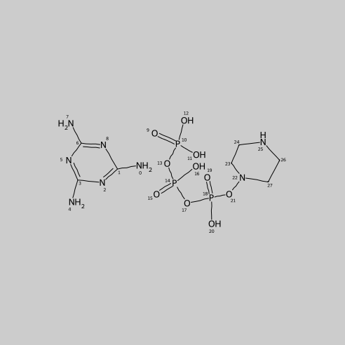 Nc1nc(N)nc(N)n1.O=P(O)(O)OP(=O)(O)OP(=O)(O)ON1CCNCC1